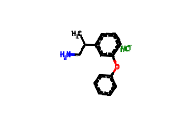 CC(CN)c1cccc(Oc2ccccc2)c1.Cl